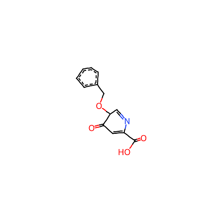 O=C(O)C1=CC(=O)C(OCc2ccccc2)C=N1